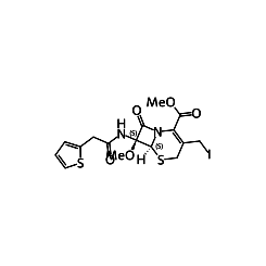 COC(=O)C1=C(CI)CS[C@@H]2N1C(=O)[C@]2(NC(=O)Cc1cccs1)OC